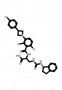 O=C(NCC(NC(=O)c1c(Cl)ccc(N2CC(c3ccc(Cl)cc3)C2)c1Cl)C(=O)O)N[C@@H]1CCc2ccccc21